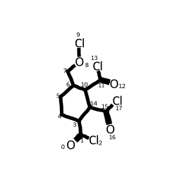 O=C(Cl)C1CCC(COCl)C(C(=O)Cl)C1C(=O)Cl